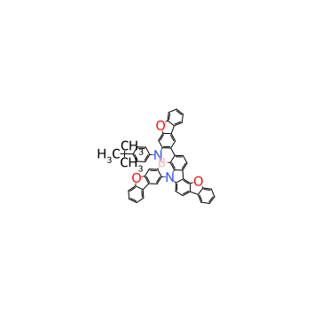 CC(C)(C)c1ccc(N2B3c4cc5oc6ccccc6c5cc4-n4c5ccc6c7ccccc7oc6c5c5ccc(c3c54)-c3cc4c(cc32)oc2ccccc24)cc1